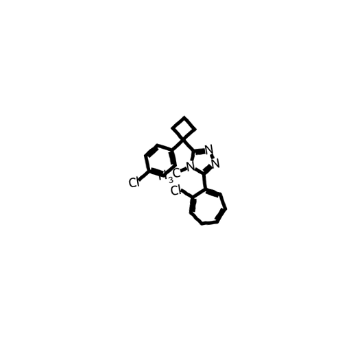 Cn1c(C2=CC=CCC=C2Cl)nnc1C1(c2ccc(Cl)cc2)CCC1